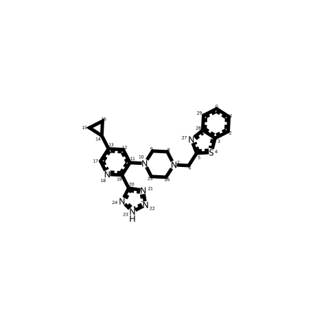 c1ccc2sc(CN3CCN(c4cc(C5CC5)cnc4-c4nn[nH]n4)CC3)nc2c1